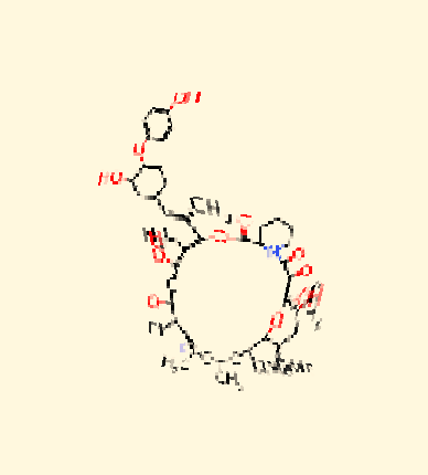 CCC1/C=C(\C)CC(C)CC(OC)C2OC(O)(C(=O)C(=O)N3CCCCC3C(=O)OC(C(C)=CC3CCC(Oc4ccc(O)cc4)C(O)C3)C(C)C(O)CC1=O)C(C)CC2OC